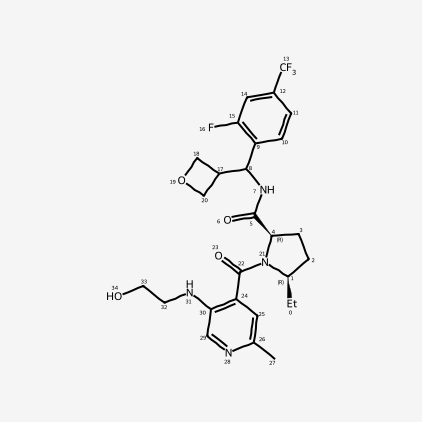 CC[C@@H]1CC[C@H](C(=O)NC(c2ccc(C(F)(F)F)cc2F)C2COC2)N1C(=O)c1cc(C)ncc1NCCO